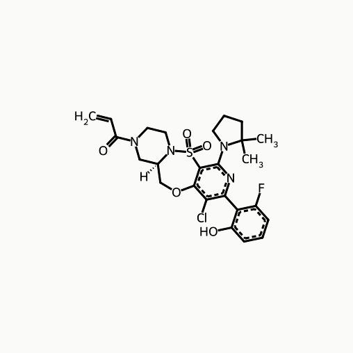 C=CC(=O)N1CCN2[C@@H](COc3c(Cl)c(-c4c(O)cccc4F)nc(N4CCCC4(C)C)c3S2(=O)=O)C1